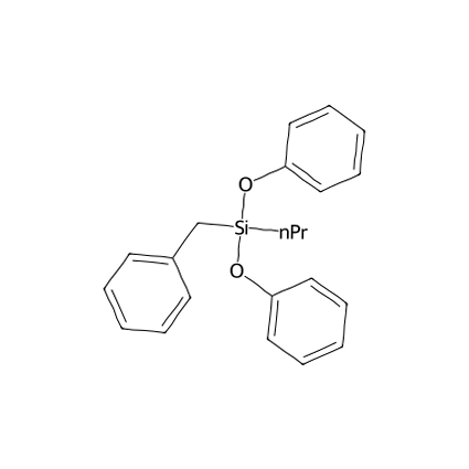 CCC[Si](Cc1ccccc1)(Oc1ccccc1)Oc1ccccc1